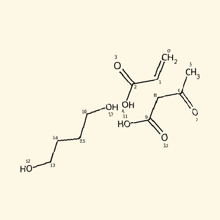 C=CC(=O)O.CC(=O)CC(=O)O.OCCCCO